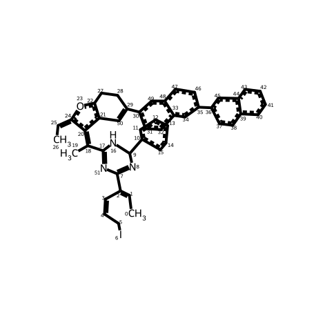 C/C=C(\C=C/CI)C1=NC(c2ccccc2)NC(/C(C)=c2\c3c(o\c2=C\C)CCC(c2ccc4cc(-c5ccc6ccccc6c5)ccc4c2)=C3)=N1